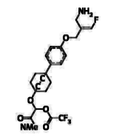 CNC(=O)C(OC(=O)C(F)(F)F)OC12CCC(c3ccc(OC/C(=C/F)CN)cc3)(CC1)CC2